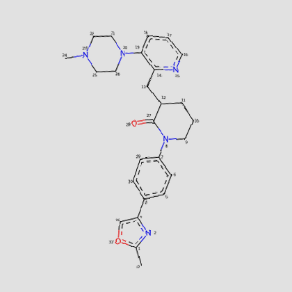 Cc1nc(-c2ccc(N3CCCC(Cc4ncccc4N4CCN(C)CC4)C3=O)cc2)co1